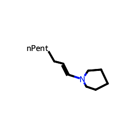 CCCCCCC=CN1CCCCC1